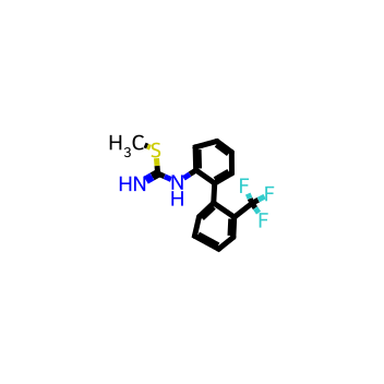 CSC(=N)Nc1ccccc1-c1ccccc1C(F)(F)F